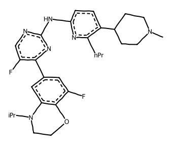 CCCc1nc(Nc2ncc(F)c(-c3cc(F)c4c(c3)N(C(C)C)CCO4)n2)ccc1C1CCN(C)CC1